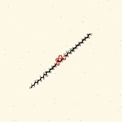 CCCCCCCCCCCCCCCCCCOC(=O)CC(=O)OCCCCCCCCCCCCCCCCCC